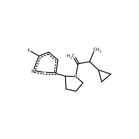 C=C(C(C)C1CC1)N1CCCC1c1ccc(F)nc1